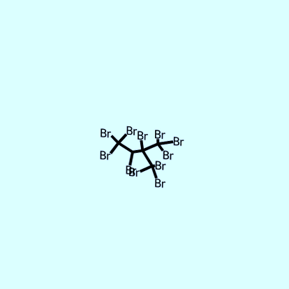 Br[C](C(Br)(Br)Br)C(Br)(C(Br)(Br)Br)C(Br)(Br)Br